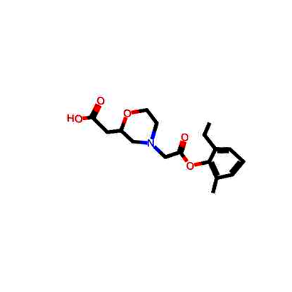 CCc1cccc(C)c1OC(=O)CN1CCOC(CC(=O)O)C1